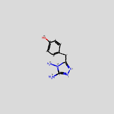 Nc1nnc(Cc2ccc(O)cc2)n1N